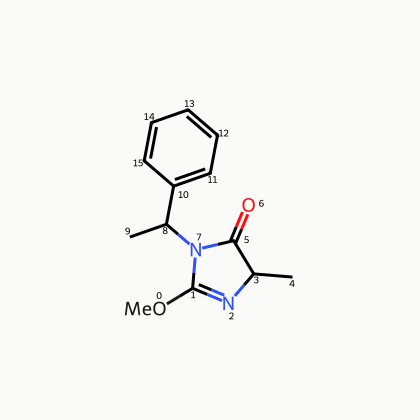 COC1=NC(C)C(=O)N1C(C)c1ccccc1